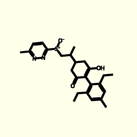 CCc1cc(C)cc(CC)c1C1=C(O)CC(C(C)C[S+]([O-])c2ccc(C)nn2)CC1=O